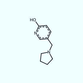 Oc1ccc(CN2CCCC2)cn1